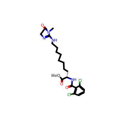 COC(=O)[C@H](CCCCCCCCNC1=NCC(=O)N1C)NC(=O)c1c(Cl)cccc1Cl